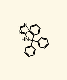 [c]1nsc(NC(c2ccccc2)(c2ccccc2)c2ccccc2)n1